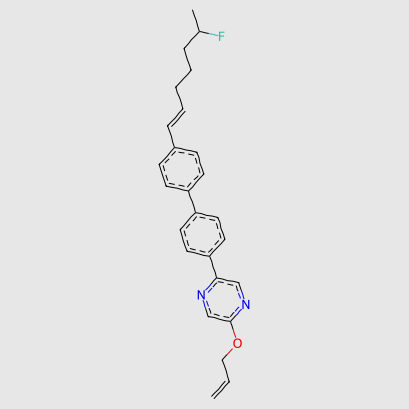 C=CCOc1cnc(-c2ccc(-c3ccc(C=CCCCC(C)F)cc3)cc2)cn1